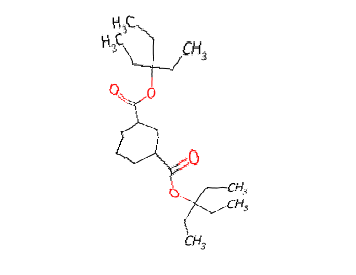 CCC(CC)(CC)OC(=O)C1CCCC(C(=O)OC(CC)(CC)CC)C1